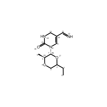 CCC1CO[C@@H](C)[C@H](N2C=C(C=N)CNC2=O)O1